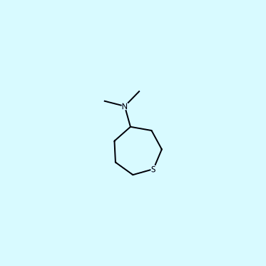 CN(C)C1CCCSCC1